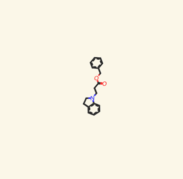 O=C(CCN1CCc2ccccc21)OCc1ccccc1